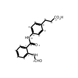 O=CNc1ccccc1C(=O)Nc1ccc(CCC(=O)O)cc1